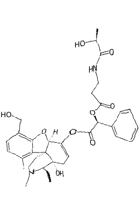 Cc1ccc(CO)c2c1[C@]13CCN(C)[C@H](C)[C@]1(O)CC=C(OC(=O)[C@@H](OC(=O)CCNC(=O)[C@H](C)O)c1ccccc1)[C@@H]3O2